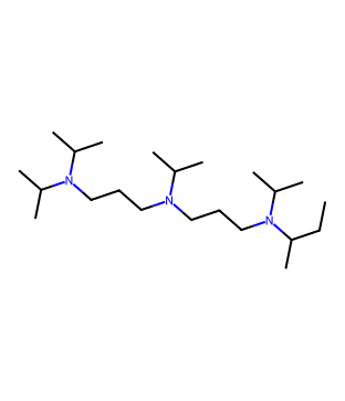 CCC(C)N(CCCN(CCCN(C(C)C)C(C)C)C(C)C)C(C)C